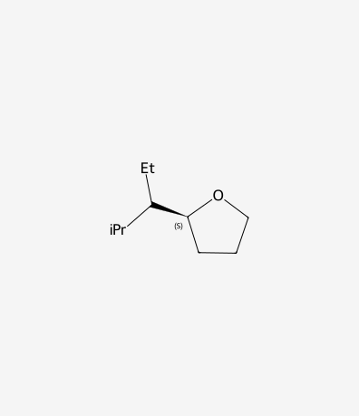 CCC(C(C)C)[C@@H]1CCCO1